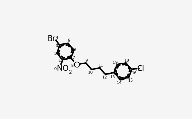 O=[N+]([O-])c1cc(Br)ccc1OCCCCc1ccc(Cl)cc1